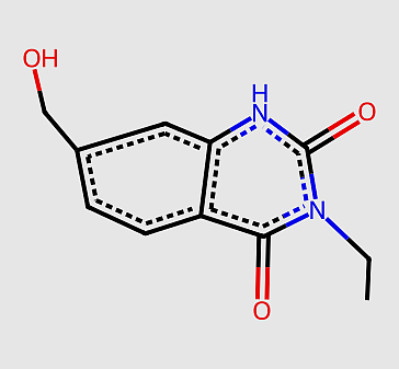 CCn1c(=O)[nH]c2cc(CO)ccc2c1=O